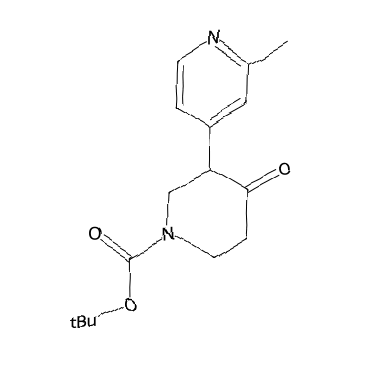 Cc1cc(C2CN(C(=O)OC(C)(C)C)CCC2=O)ccn1